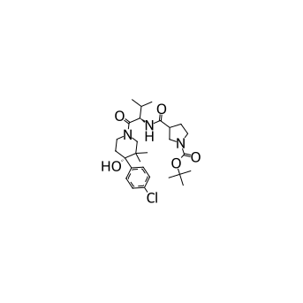 CC(C)[C@@H](NC(=O)C1CCN(C(=O)OC(C)(C)C)C1)C(=O)N1CC[C@](O)(c2ccc(Cl)cc2)C(C)(C)C1